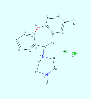 CN1CCN(C2Cc3cc(Cl)ccc3Oc3ccccc32)CC1.Cl.Cl